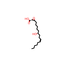 CCCCC/C=C\CC[C@@H](O)CCCCCC1O[C@@H]1C(=O)O